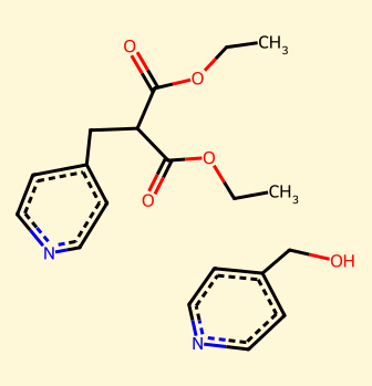 CCOC(=O)C(Cc1ccncc1)C(=O)OCC.OCc1ccncc1